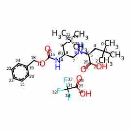 CC(C)(C)C[C@H](NC[C@H](C[Si](C)(C)C)NC(=O)OCc1ccccc1)C(=O)O.O=C(O)C(F)(F)F